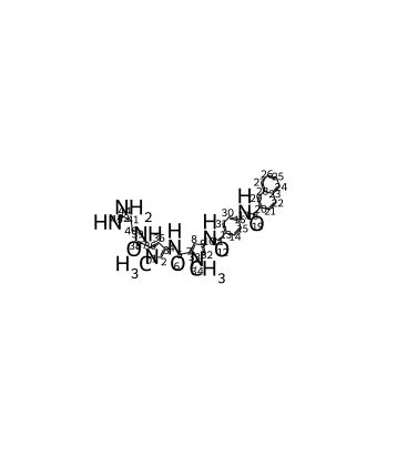 Cn1cc(NC(=O)c2cc(NC(=O)c3ccc(NC(=O)c4ccc5ccccc5c4)cc3)cn2C)cc1C(=O)NCCC(=N)N